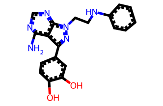 Nc1ncnc2c1c(-c1ccc(O)c(O)c1)nn2CCNc1ccccc1